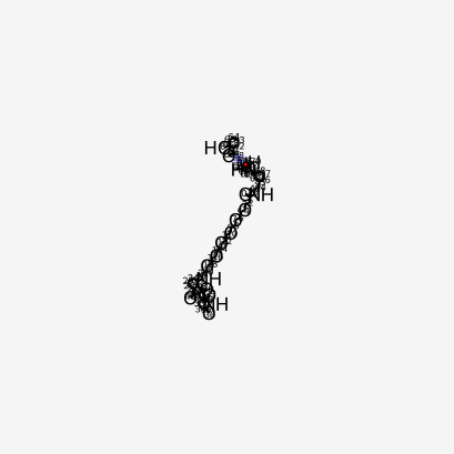 O=C(CCOCCOCCOCCOCCOCCOCCNc1cccc2c1C(=O)N(C1CCC(=O)NC1=O)C2=O)NCCc1cccc(N2C[C@H]3C[C@@H]2CN3/C=C/C(=O)c2ccccc2O)c1